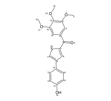 COc1cc(C(=O)c2cc(-c3ccc(O)cc3)cs2)cc(OC)c1OC